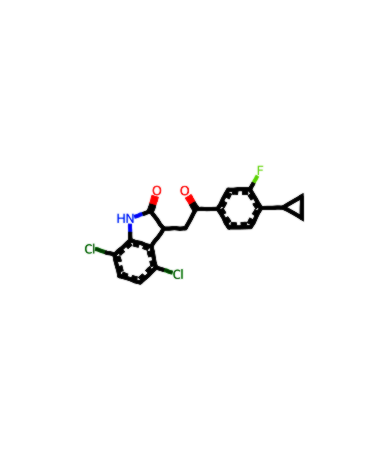 O=C(CC1C(=O)Nc2c(Cl)ccc(Cl)c21)c1ccc(C2CC2)c(F)c1